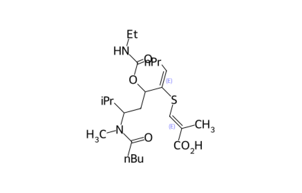 CCC/C=C(/S/C=C(\C)C(=O)O)C(CC(C(C)C)N(C)C(=O)CCCC)OC(=O)NCC